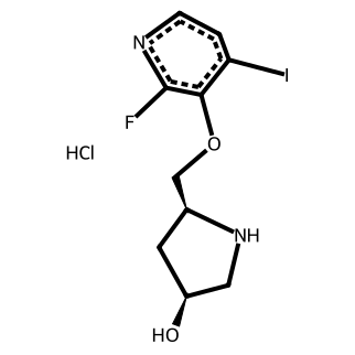 Cl.O[C@@H]1CN[C@H](COc2c(I)ccnc2F)C1